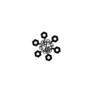 c1ccc([SiH]2O[SiH](c3ccccc3)O[SiH](c3ccccc3)O[SiH](c3ccccc3)O[SiH](c3ccccc3)O[SiH](c3ccccc3)O2)cc1